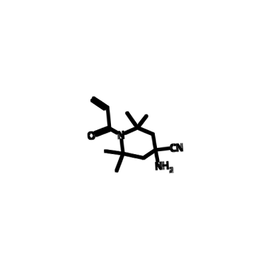 C=CC(=O)N1C(C)(C)CC(N)(C#N)CC1(C)C